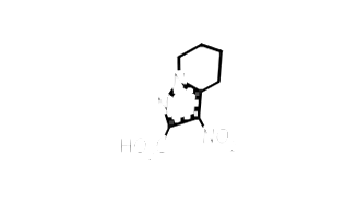 O=C(O)c1nn2c(c1[N+](=O)[O-])CCCC2